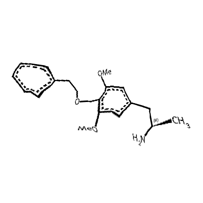 COc1cc(C[C@@H](C)N)cc(OC)c1OCc1ccccc1